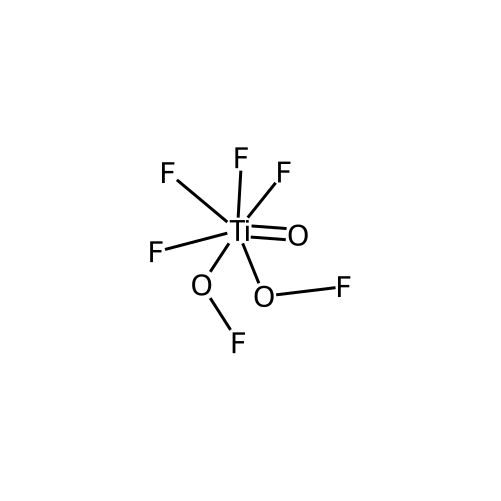 [O]=[Ti]([F])([F])([F])([F])([O]F)[O]F